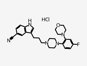 Cl.N#Cc1ccc2[nH]cc(CCCN3CCN(c4ccc(F)cc4N4CCOCC4)CC3)c2c1